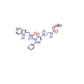 CCCCOC(=O)NCCNc1cnc(-c2ccccc2)n(CC(=O)NCc2cc3cnccc3[nH]2)c1=O